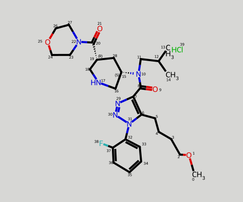 COCCCCc1c(C(=O)N(CC(C)C)[C@@H]2CNC[C@H](C(=O)N3CCOCC3)C2)nnn1-c1ccccc1F.Cl